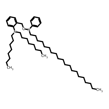 CCCCCCCCCCCCCCCCCCCCN(OCc1ccccc1N(CCCCCCCC)CCCCCCCC)c1ccccc1